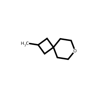 CC1CC2(CCOCC2)C1